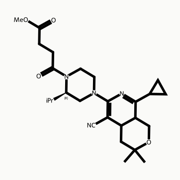 COC(=O)CCC(=O)N1CCN(C2=C(C#N)C3CC(C)(C)OCC3C(C3CC3)=N2)C[C@H]1C(C)C